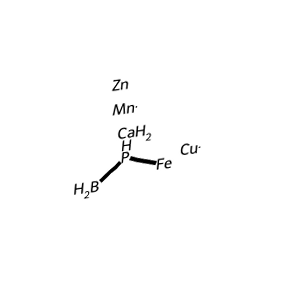 B[PH][Fe].[CaH2].[Cu].[Mn].[Zn]